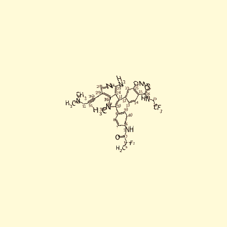 C=C(F)C(=O)Nc1ccc(-c2c(-c3ccc(C(=O)NCC(F)(F)F)c(OC)c3)c3c(N)ncc(C#CCN(C)C)c3n2C)cc1